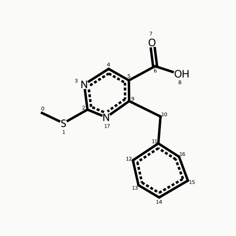 CSc1ncc(C(=O)O)c(Cc2ccccc2)n1